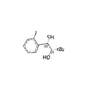 CCCC[C@H](O)[C@@H](O)c1ccccc1I